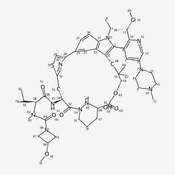 CCn1c(-c2cc(N3CCN(C)CC3)cnc2[C@H](C)OC)c2c3cc(ccc31)-c1csc(n1)C[C@H](NC(=O)[C@H](C(C)C)N(C)C(=O)N1CC(OC)C1)C(=O)N1CCC[C@@](O)(N1)C(=O)OCC(C)(C)C2